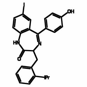 CC(C)c1ccccc1CC1N=C(c2ccc(O)cc2)c2cc(I)ccc2NC1=O